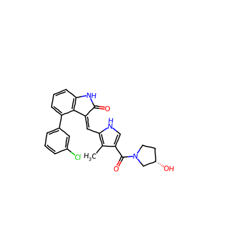 Cc1c(C(=O)N2CC[C@H](O)C2)c[nH]c1/C=C1\C(=O)Nc2cccc(-c3cccc(Cl)c3)c21